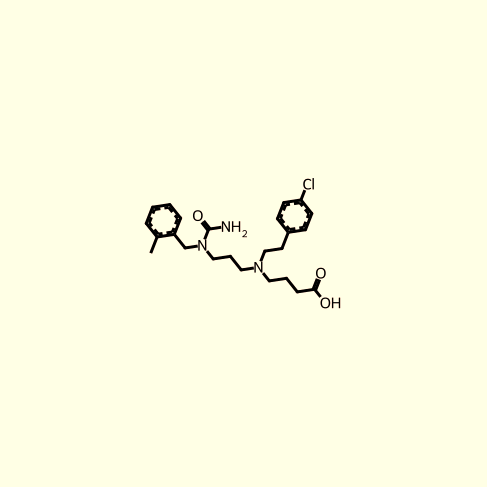 Cc1ccccc1CN(CCCN(CCCC(=O)O)CCc1ccc(Cl)cc1)C(N)=O